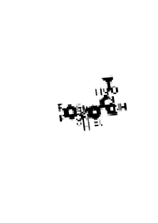 CCc1cc(-c2cc(NC(=O)C3CC3)nc3[nH]ccc23)cc(CC)c1NS(=O)(=O)c1ccc(F)c(F)c1